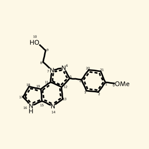 COc1ccc(-c2nn(CCO)c3c2cnc2[nH]ccc23)cc1